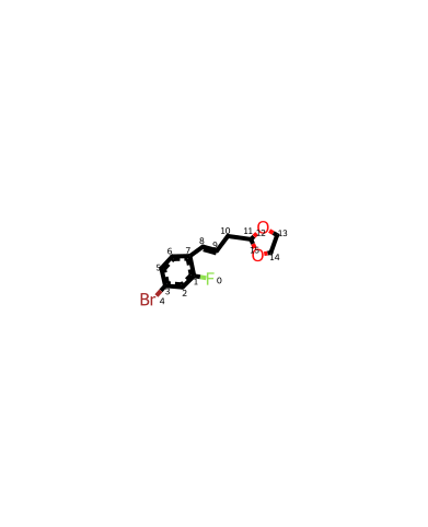 Fc1cc(Br)ccc1/C=C/CC1OCCO1